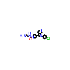 NCCNC(=O)N1CCC(c2cn(-c3ccc(Cl)cc3)c3cnccc23)CC1